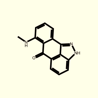 CNc1cccc2c1C(=O)c1cccc3[nH]nc-2c13